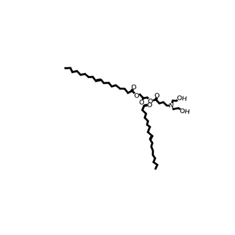 CCCCCCCCC=CCCCCCCCC(=O)OCC(COC(=O)CCCN(CCO)CCO)OC(=O)CCCCCCCC=CCCCCCCCC